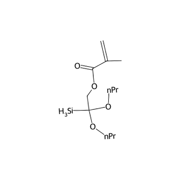 C=C(C)C(=O)OCC([SiH3])(OCCC)OCCC